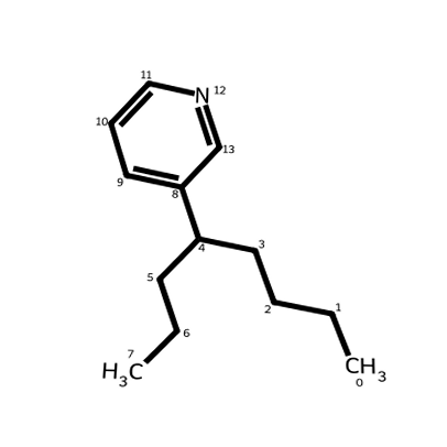 CCCCC(CCC)c1cccnc1